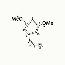 CC/C=C\c1cc(OC)cc(OC)c1